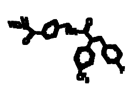 O=C(NCc1ccc(C(=O)NO)cc1)C(=Cc1ccc(F)cc1)c1ccc(C(F)(F)F)cc1